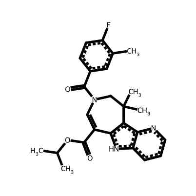 Cc1cc(C(=O)N2C=C(C(=O)OC(C)C)c3[nH]c4cccnc4c3C(C)(C)C2)ccc1F